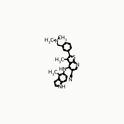 Cc1c(Nc2c(C#N)cnc3sc(-c4cccc(CN(C)C)c4)c(C)c23)ccc2[nH]ccc12